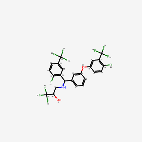 O[C@H](CNC(c1cccc(Oc2ccc(Cl)c(C(F)(F)F)c2)c1)c1cc(C(F)(F)F)ccc1F)C(F)(F)F